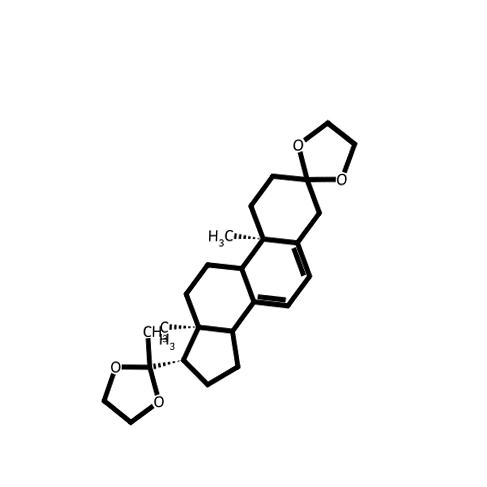 CC1([C@H]2CCC3C4=CC=C5CC6(CC[C@]5(C)C4CC[C@@]32C)OCCO6)OCCO1